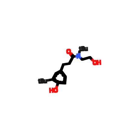 CC(C)(C)c1cc(CCC(=O)N(CCO)C(C)(C)C)ccc1O